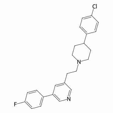 Fc1ccc(-c2cncc(CCN3CCC(c4ccc(Cl)cc4)CC3)c2)cc1